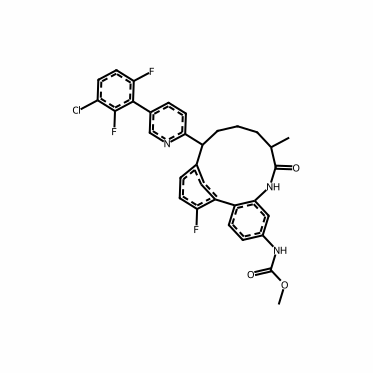 COC(=O)Nc1ccc2c(c1)NC(=O)C(C)CCCC(c1ccc(-c3c(F)ccc(Cl)c3F)cn1)c1ccc(F)c-2c1